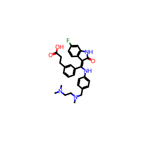 CN(C)CCN(C)Cc1ccc(N/C(=C2\C(=O)Nc3cc(F)ccc32)c2cccc(CCC(=O)O)c2)cc1